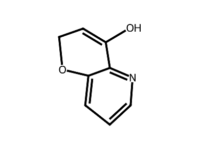 OC1=CCOc2cccnc21